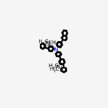 C[Si]1(C)c2ccccc2-c2ccc(-c3ccc(N(c4ccc(-c5ccc6ccccc6c5)cc4)c4ccc5c(c4)[Si](C)(C)c4ccccc4-5)cc3)cc21